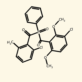 COc1ccc(Cl)c(OC)c1C(=O)P(=O)(C(=O)c1c(C)cccc1Cl)c1ccccc1